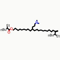 C=C(CCCCCCCCCCC(CCCCCCCCCOC(=O)C(CC)CCCC)CCCN(C)C)C(CC)CCCC